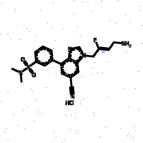 CN(C)S(=O)(=O)c1cccc(-c2cc(C#N)cc3c2ncn3C/C(F)=C/CN)c1.Cl